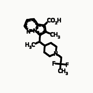 Cc1c(C(=O)O)c2cccnn2c1C(C)C1CCN(CC(C)(F)F)CC1